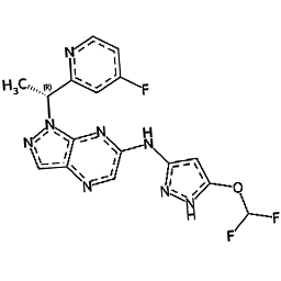 C[C@H](c1cc(F)ccn1)n1ncc2ncc(Nc3cc(OC(F)F)[nH]n3)nc21